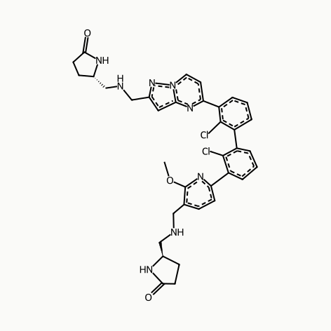 COc1nc(-c2cccc(-c3cccc(-c4ccn5nc(CNC[C@@H]6CCC(=O)N6)cc5n4)c3Cl)c2Cl)ccc1CNC[C@H]1CCC(=O)N1